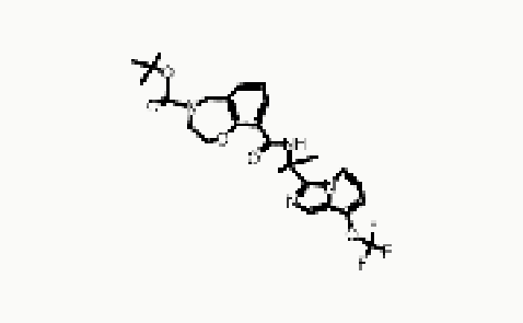 CC(C)(C)OC(=O)N1CCOc2c(cccc2C(=O)NC(C)(C)c2ncc3c(OC(F)(F)F)cccn23)C1